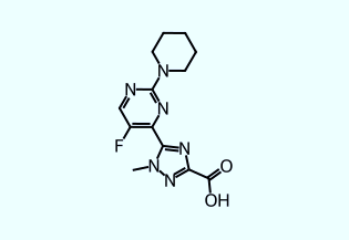 Cn1nc(C(=O)O)nc1-c1nc(N2CCCCC2)ncc1F